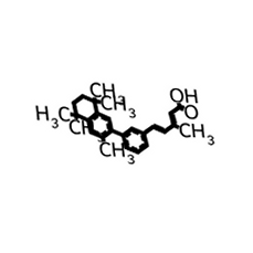 CC(C=Cc1cccc(-c2cc3c(cc2C)C(C)(C)CCC3(C)C)c1)=CC(=O)O